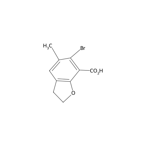 Cc1cc2c(c(C(=O)O)c1Br)OCC2